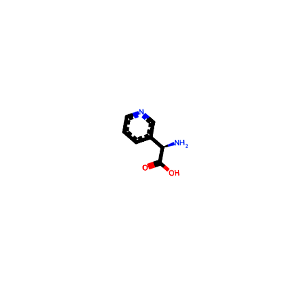 N[C@@H](C(=O)O)c1cccnc1